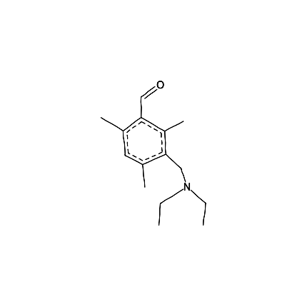 CCN(CC)Cc1c(C)cc(C)c(C=O)c1C